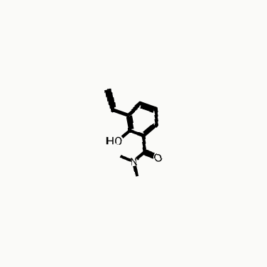 C=Cc1cccc(C(=O)N(C)C)c1O